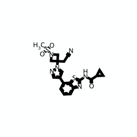 CS(=O)(=O)N1CC(CC#N)(n2cc(-c3cccc4nc(NC(=O)C5CC5)sc34)cn2)C1